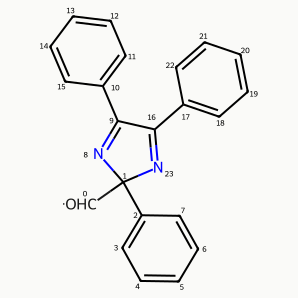 O=[C]C1(c2ccccc2)N=C(c2ccccc2)C(c2ccccc2)=N1